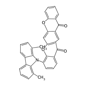 Cc1cccc2c3cccc(C)c3n(-c3cccc4c(=O)c5cc6c(=O)c7ccccc7oc6cc5oc34)c12